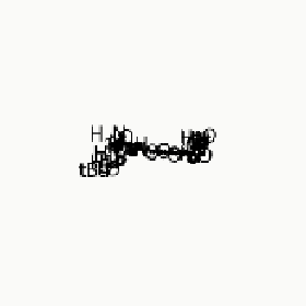 CC(C)(C)OC(=O)N[C@H]1CCCCC1Nc1nnc(C(N)=O)c(Nc2cccc3c2ccn3CCOCCOCCOCCNc2cccc3c2C(=O)N(C2CCC(=O)NC2=O)C3=O)n1